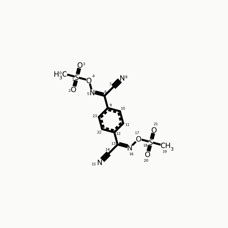 CS(=O)(=O)O/N=C(\C#N)c1ccc(/C(C#N)=N\OS(C)(=O)=O)cc1